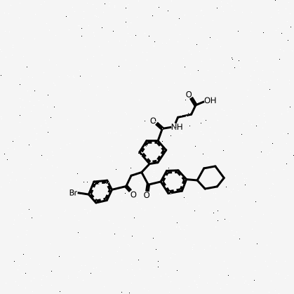 O=C(O)CCNC(=O)c1ccc(C(CC(=O)c2ccc(Br)cc2)C(=O)c2ccc(C3CCCCC3)cc2)cc1